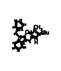 CN1C(=O)[C@H](Cc2cn(Cc3ccccc3)c3ccccc23)N[C@@H]1C(C)(C)C